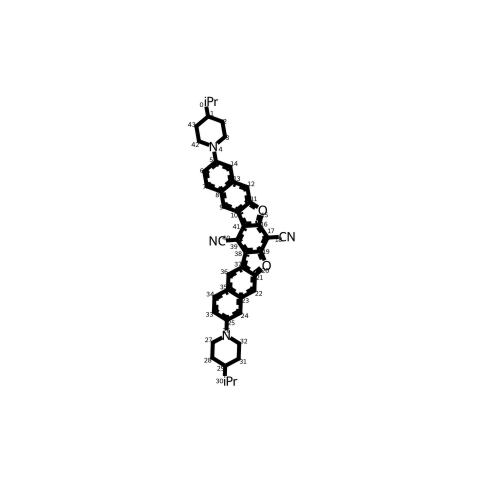 CC(C)C1CCN(c2ccc3cc4c(cc3c2)oc2c(C#N)c3oc5cc6cc(N7CCC(C(C)C)CC7)ccc6cc5c3c(C#N)c24)CC1